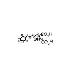 O=C(O)CCC(CP(O)CCCc1ccccc1)C(=O)O